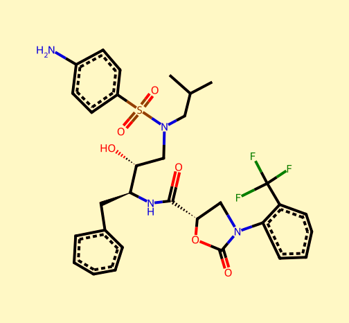 CC(C)CN(C[C@@H](O)[C@H](Cc1ccccc1)NC(=O)[C@@H]1CN(c2ccccc2C(F)(F)F)C(=O)O1)S(=O)(=O)c1ccc(N)cc1